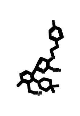 COc1nc(-c2cnc(C)c(CC(=O)O)c2N2CCC(C)(C)CC2)ccc1OCCc1ccc(F)cc1